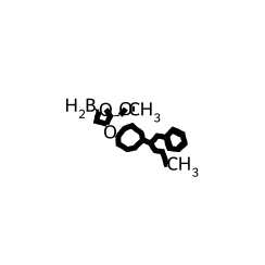 B[C@H]1CC(OC2CCCC(C(CCCC)Cc3ccccc3)CCC2)[C@@H](COC)O1